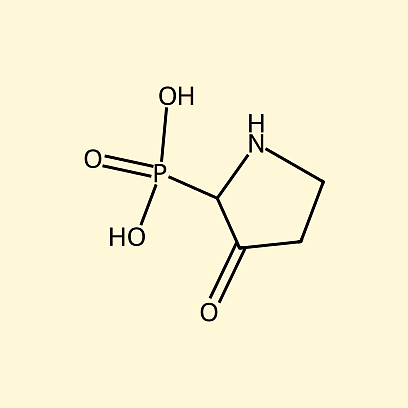 O=C1CCNC1P(=O)(O)O